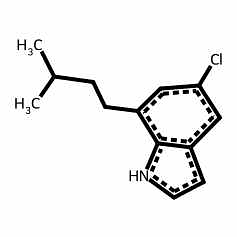 CC(C)CCc1cc(Cl)cc2cc[nH]c12